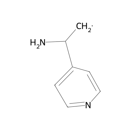 [CH2]C(N)c1ccncc1